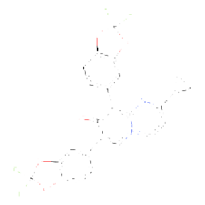 O=c1c(-c2ccc3c(c2)OC(F)(F)O3)cn2ccc(C3CC3)nc2c1-c1ccc2c(c1)OC(F)(F)O2